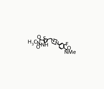 CNC(=O)c1ccc(N2CCN(Cc3cc4[nH]c(=O)n(C)c(=O)c4s3)CC2)cc1F